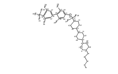 CCCCCC1COC(C2CCC(C3CCC(C(F)(F)Oc4cc(F)c(-c5cc(F)c(C(F)(F)F)c(F)c5)c(F)c4)CC3)CC2)OC1